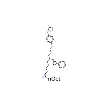 CCCCCCCC/C=C\CCCCC(CCC[CH]c1ccc(CCl)cc1)COc1ccccc1